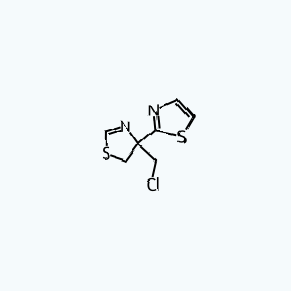 ClCC1(c2nccs2)CSC=N1